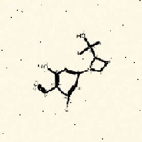 CC(C)(O)C1CCN1c1cc(O)c(C=O)c(F)c1